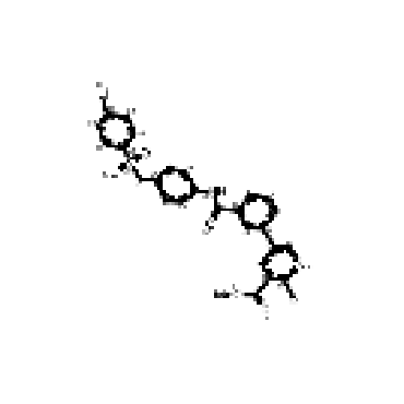 COC(=O)c1cc(-c2cccc(C(=O)Nc3ccc(CS(=O)(=O)c4ccc(Cl)cc4)cc3)c2)cnc1C